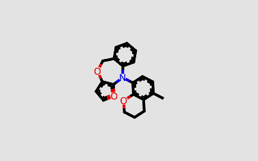 Cc1ccc(N2c3ccccc3COc3ccoc32)c2c1CCCO2